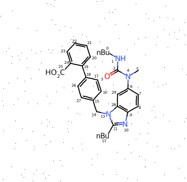 CCCCNC(=O)N(C)c1ccc2nc(CCCC)n(Cc3ccc(-c4ccccc4C(=O)O)cc3)c2c1